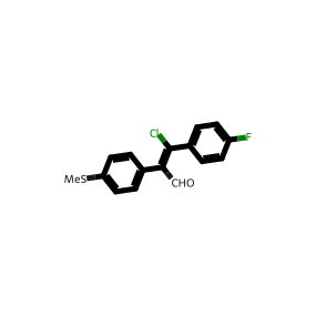 CSc1ccc(C(C=O)=C(Cl)c2ccc(F)cc2)cc1